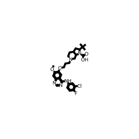 COc1cc2ncnc(Nc3ccc(F)c(Cl)c3)c2cc1OCCCN1CCC2CC(C(C)(C)C)N(C(=O)O)C2C1